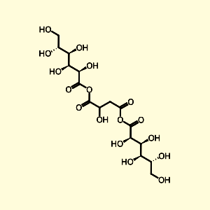 O=C(CC(O)C(=O)OC(=O)[C@H](O)[C@@H](O)[C@H](O)[C@H](O)CO)OC(=O)[C@H](O)[C@@H](O)[C@H](O)[C@H](O)CO